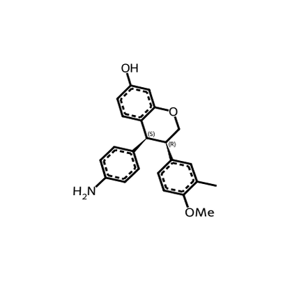 COc1ccc([C@@H]2COc3cc(O)ccc3[C@@H]2c2ccc(N)cc2)cc1C